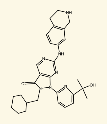 CC(C)(O)c1cccc(-n2c3nc(Nc4ccc5c(c4)CNCC5)ncc3c(=O)n2CC2CCCCC2)n1